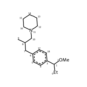 CCC(OC)c1ccc(CC(C)CN2CCCCC2)cc1